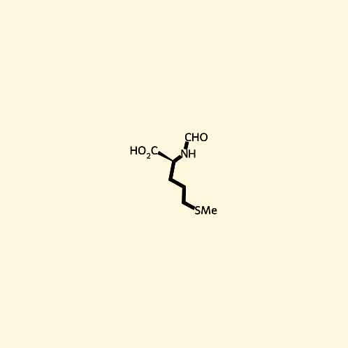 CSCCC[C@H](NC=O)C(=O)O